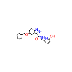 Cn1nc2ccc(OCc3ccccc3)cc2c1C(=O)NCc1cccc(O)n1